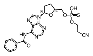 N#CCCOP(O)(=S)OC[C@@H]1CC[C@H](n2cnc3c(NC(=O)c4ccccc4)ncnc32)O1